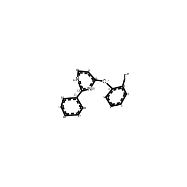 Fc1ccccc1Oc1ccnc(-c2ccccc2)n1